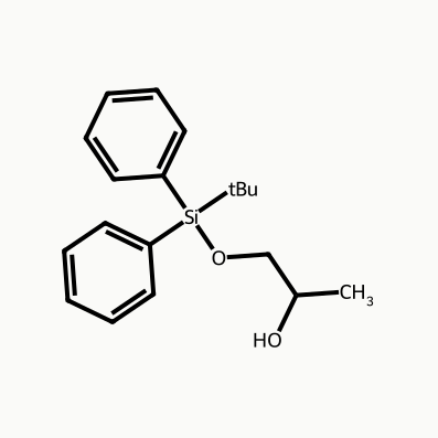 CC(O)CO[Si](c1ccccc1)(c1ccccc1)C(C)(C)C